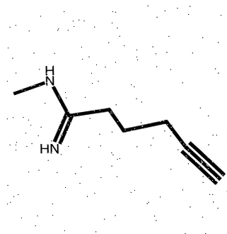 C#CCCCC(=N)NC